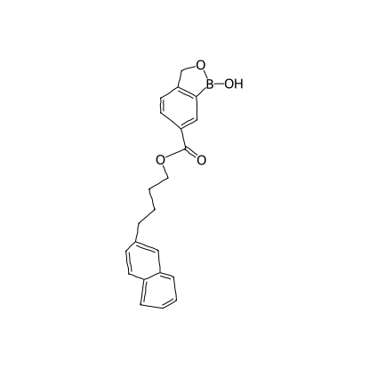 O=C(OCCCCc1ccc2ccccc2c1)c1ccc2c(c1)B(O)OC2